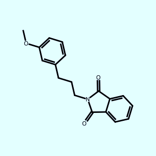 COc1cccc(CCCN2C(=O)c3ccccc3C2=O)c1